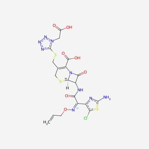 C=CCO/N=C(\C(=O)NC1C(=O)N2C(C(=O)O)=C(CSc3nnnn3CC(=O)O)CS[C@H]12)c1nc(N)sc1Cl